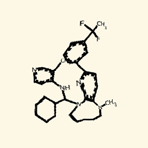 Cc1cnccc1NC(C1CCCCC1)N1CCCCN(C)c2ccc(-c3cccc(C(C)(F)F)c3)nc21